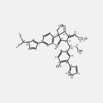 CC(C)(C)CC1(c2ccc(-c3cnn(C(F)F)c3)cc2)NC(=NC(=O)O)N([C@H](CO)c2ccc(Cl)c(-c3cc[nH]n3)c2)C1=O